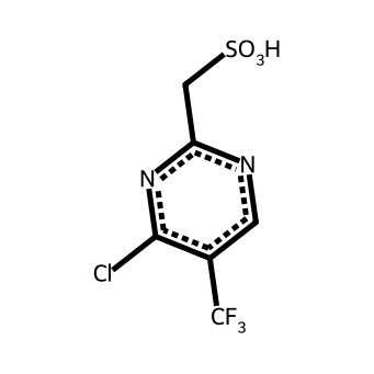 O=S(=O)(O)Cc1ncc(C(F)(F)F)c(Cl)n1